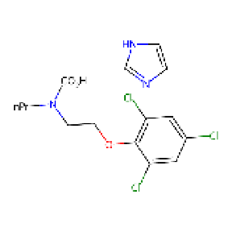 CCCN(CCOc1c(Cl)cc(Cl)cc1Cl)C(=O)O.c1c[nH]cn1